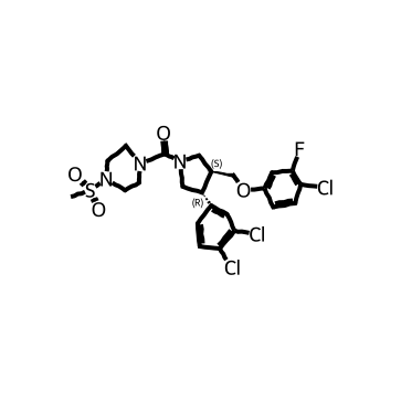 CS(=O)(=O)N1CCN(C(=O)N2C[C@@H](COc3ccc(Cl)c(F)c3)[C@H](c3ccc(Cl)c(Cl)c3)C2)CC1